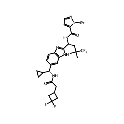 CC(C)n1nccc1C(=O)N[C@@H](CC(C)(C)C(F)(F)F)c1nc2ccc([C@H](NC(=O)CC3CC(F)(F)C3)C3CC3)cc2[nH]1